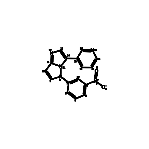 O=[N+]([O-])c1cccc(-n2ccc3ncc(-c4cccnc4)n32)c1